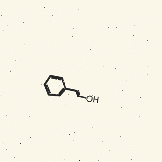 OC=Cc1cc[c]cc1